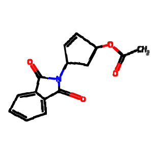 CC(=O)OC1C=CC(N2C(=O)c3ccccc3C2=O)C1